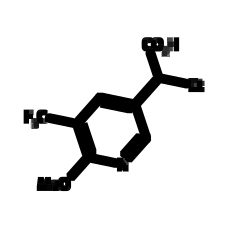 CCC(C(=O)O)c1cnc(OC)c(C(F)(F)F)c1